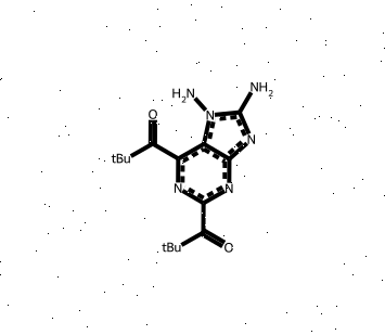 CC(C)(C)C(=O)c1nc(C(=O)C(C)(C)C)c2c(n1)nc(N)n2N